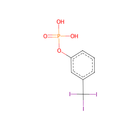 O=P(O)(O)Oc1cccc(C(I)(I)I)c1